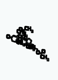 CC(=O)OCCCC1(O)CC[C@H]2[C@@H]3C(SC(C)=O)C(C)C4=CC(=O)CC[C@]4(C)[C@@H]3CC[C@@]21C